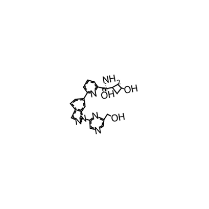 N[C@](O)(c1cccc(-c2ccc3cnn(-c4cncc(CO)n4)c3c2)n1)C1CC(O)C1